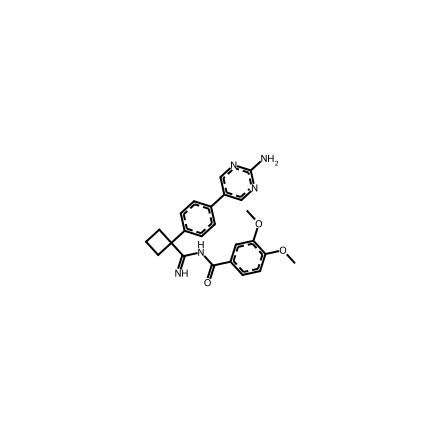 COc1ccc(C(=O)NC(=N)C2(c3ccc(-c4cnc(N)nc4)cc3)CCC2)cc1OC